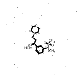 CN(c1cccc(C(=O)CCN2CCOCC2)c1)S(C)(=O)=O.Cl